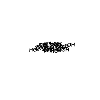 Oc1ccc(C(O)c2cc3cccc4c(C(O)c5ccc(C(O)c6cc7c(O)ccc8c(C(O)c9ccc(O)cc9)cc9cccc6c9c78)cc5)cc5c(O)ccc2c5c34)cc1